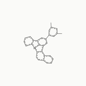 Cc1cc(C)cc(-c2cc3c4ccccc4n4c5ccc6ccccc6c5c(c2)c34)c1